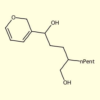 CCCCCC(CO)CCC(O)C1=CC=COC1